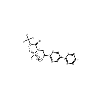 CC(C)(C)OC(=O)N(CC(O)c1ccc(-c2c[c]ccc2)cc1)S(C)(=O)=O